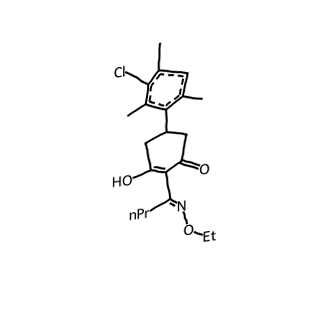 CCCC(=NOCC)C1=C(O)CC(c2c(C)cc(C)c(Cl)c2C)CC1=O